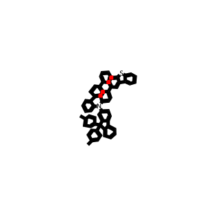 Cc1ccc(C2(c3ccc(C)cc3)c3ccccc3-c3ccc(N(c4ccc(-c5ccc6sc7ccccc7c6c5)cc4)c4ccccc4-c4ccc(-c5ccccc5)cc4)cc32)cc1